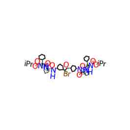 CC(C)OC(=O)N[C@@H](C(=O)N1CCC[C@H]1C(=O)Nc1ccc(-c2oc3ccc(NC(=O)[C@@H]4CCCN4C(=O)[C@H](NC(=O)OC(C)C)c4ccccc4)cc3c2Br)cc1)c1ccccc1